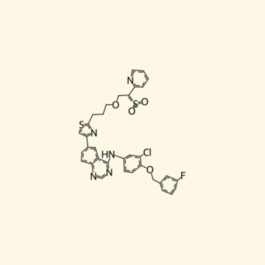 O=S(=O)=C(COCCCc1nc(-c2ccc3ncnc(Nc4ccc(OCc5cccc(F)c5)c(Cl)c4)c3c2)cs1)c1ccccn1